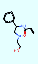 C=CC(=O)NC(CNCCO)c1ccccc1